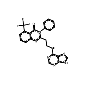 O=c1c2c(C(F)(F)F)cccc2nc(CCNc2ncnc3[nH]cnc23)n1-c1ccccc1